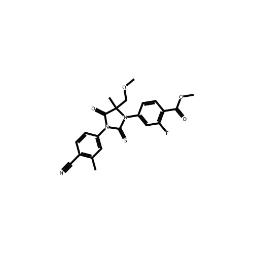 COCC1(C)C(=O)N(c2ccc(C#N)c(C)c2)C(=S)N1c1ccc(C(=O)OC)c(F)c1